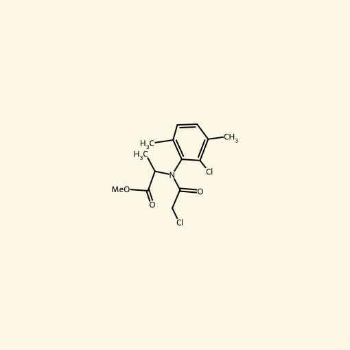 COC(=O)C(C)N(C(=O)CCl)c1c(C)ccc(C)c1Cl